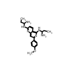 CCC(N)Nc1ccc2c(NC(N)CC)nc(-c3ccc(OC)cc3)cc2n1